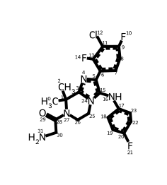 CC1(C)c2nc(-c3ccc(F)c(Cl)c3F)c(Nc3ccc(F)cc3)n2CCN1C(=O)CN